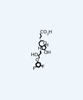 O=C(O)CCC[C@H]1CC[C@@H]2[C@@H](/C=C/[C@@H](O)COc3cc(F)cc(F)c3)[C@H](O)C[C@@H]2OC1